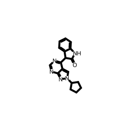 O=C1Nc2ccccc2C1c1ncnc2nn(C3CCCC3)cc12